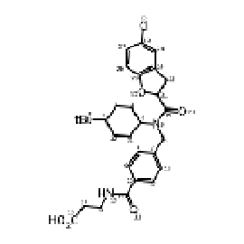 CC(C)(C)C1CCC(N(Cc2ccc(C(=O)NCCC(=O)O)cc2)C(=O)C2Cc3cc(Cl)ccc3O2)CC1